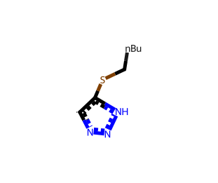 CCCCCSc1[c]nn[nH]1